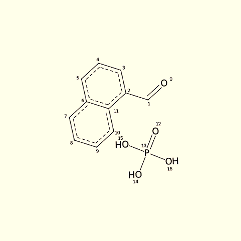 O=Cc1cccc2ccccc12.O=P(O)(O)O